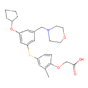 Cc1cc(Sc2cc(CN3CCOCC3)cc(OC3CCCC3)c2)ccc1OCC(=O)O